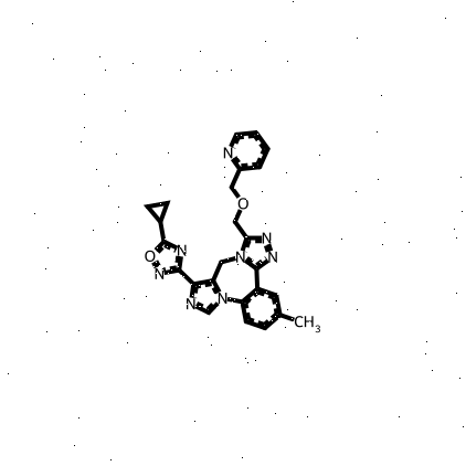 Cc1ccc2c(c1)-c1nnc(COCc3ccccn3)n1Cc1c(-c3noc(C4CC4)n3)ncn1-2